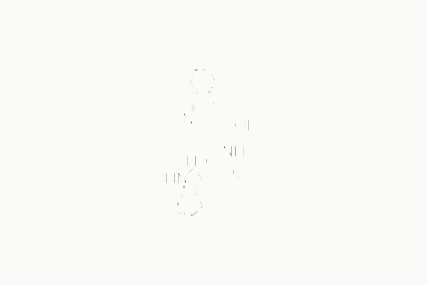 CC(C)(Cc1c[nH]c2ccccc12)NCC(O)COc1ccccc1C#N